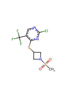 CS(=O)(=O)N1CC(Sc2nc(Cl)ncc2C(F)(F)F)C1